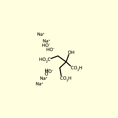 O=C(O)CC(O)(CC(=O)O)C(=O)O.[Na+].[Na+].[Na+].[Na+].[OH-].[OH-].[OH-].[OH-]